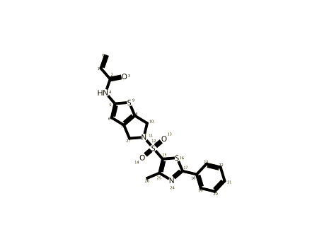 C=CC(=O)Nc1cc2c(s1)CN(S(=O)(=O)c1sc(-c3ccccc3)nc1C)C2